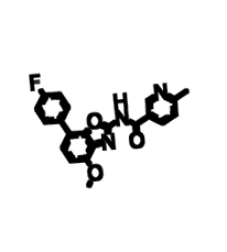 COc1ccc(-c2ccc(F)cc2)c2oc(NC(=O)c3ccc(C)nc3)nc12